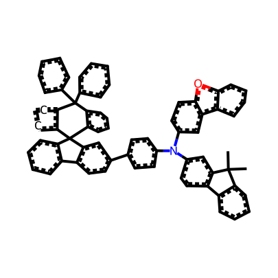 CC1(C)c2ccccc2-c2ccc(N(c3ccc(-c4ccc5c(c4)C4(c6ccccc6-5)c5ccccc5C(c5ccccc5)(c5ccccc5)c5ccccc54)cc3)c3ccc4oc5ccccc5c4c3)cc21